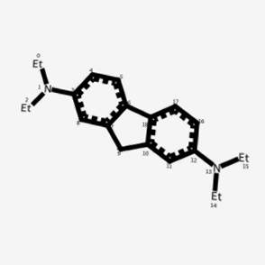 CCN(CC)c1ccc2c(c1)[CH]c1cc(N(CC)CC)ccc1-2